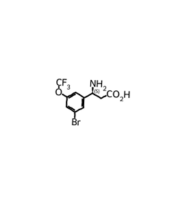 N[C@@H](CC(=O)O)c1cc(Br)cc(OC(F)(F)F)c1